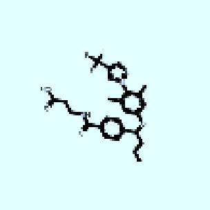 CCCC(Oc1cc(C)c(-n2cc(C(F)(F)F)cn2)c(C)c1)c1ccc(C(=O)NCCC(=O)O)cc1